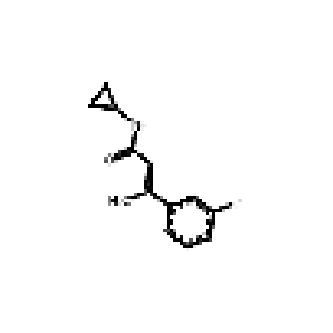 C/C(=C\C(=O)NC1CC1)c1cccc(Cl)c1